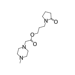 CN1CCN(CC(=O)OCCCN2CCCC2=O)CC1